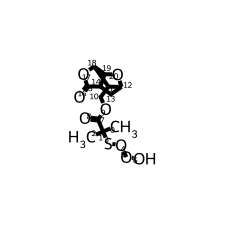 CC(C)(SOOO)C(=O)OCC1C2CC3C(=O)OC1C3O2